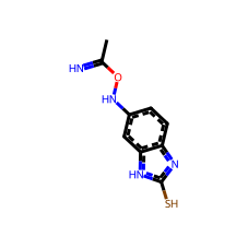 CC(=N)ONc1ccc2nc(S)[nH]c2c1